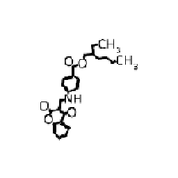 CCCCC(CC)COC(=O)c1ccc(NC=C2C(=O)Oc3ccccc3C2=O)cc1